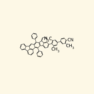 Cc1cc(-c2cc(C)c(-c3ccc4c5c(-c6ccccc6)c6c(cc7c8ccccc8c8cccc6c87)c(-c6ccccc6)c5c5cccc3c54)c(C)c2)ccc1C#N